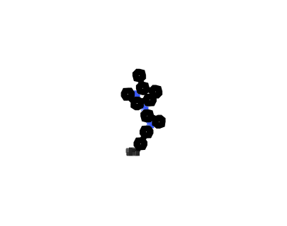 CC(C)(C)c1ccc(-c2ccc(-n3c4ccccc4c4cc(-n5c6ccccc6c6c5ccc5c7ccccc7n(-c7cc(-c8ccccc8)cc(-c8ccccc8)c7)c56)ccc43)cc2)cc1